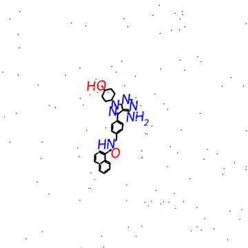 Nc1ncnc2c1c(-c1ccc(CNC(=O)c3cccc4ccccc34)cc1)nn2C1CCC(O)CC1